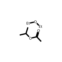 CC(=O)OC(C)C.CCOCC